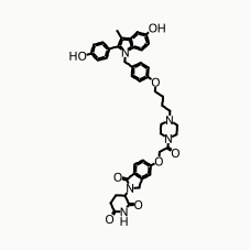 Cc1c(-c2ccc(O)cc2)n(Cc2ccc(OCCCCN3CCN(C(=O)COc4ccc5c(c4)CN(C4CCC(=O)NC4=O)C5=O)CC3)cc2)c2ccc(O)cc12